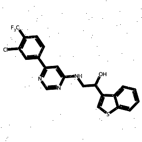 OC(CNc1cc(-c2ccc(C(F)(F)F)c(Cl)c2)ncn1)c1csc2ccccc12